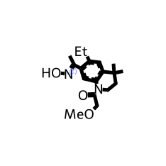 CCc1cc2c(cc1/C(C)=N/O)N(C(=O)COC)CCC2(C)C